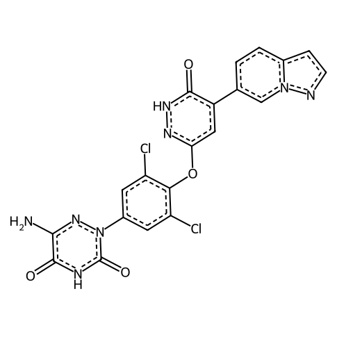 Nc1nn(-c2cc(Cl)c(Oc3cc(-c4ccc5ccnn5c4)c(=O)[nH]n3)c(Cl)c2)c(=O)[nH]c1=O